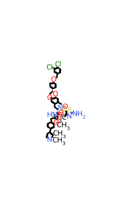 COC(=O)C(Cc1ccc(-c2ccnc(C)c2C)cc1)NC(=O)[C@@H]1Cc2cc3c(cc2CN1S(=O)(=O)c1sc(N)nc1C)O[C@@H](c1ccc(OCc2ccc(Cl)c(Cl)c2)cc1)CO3